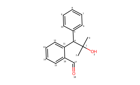 CC(C)(O)C(c1ccccc1)c1ccccc1C=O